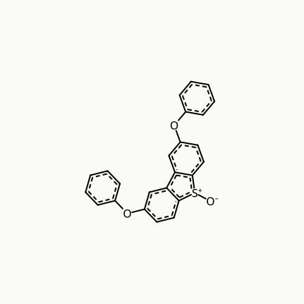 [O-][s+]1c2ccc(Oc3ccccc3)cc2c2cc(Oc3ccccc3)ccc21